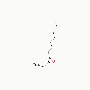 C#CC[C@H]1O[C@H]1CCCCCCC